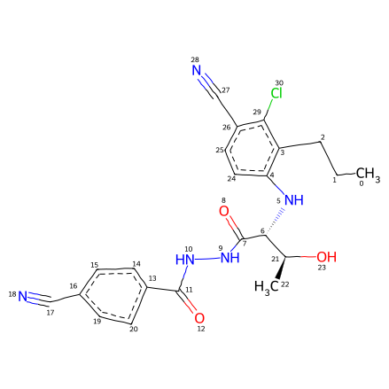 CCCc1c(N[C@@H](C(=O)NNC(=O)c2ccc(C#N)cc2)[C@H](C)O)ccc(C#N)c1Cl